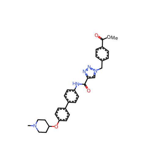 COC(=O)c1ccc(Cn2cc(C(=O)Nc3ccc(-c4ccc(OC5CCN(C)CC5)cc4)cc3)nn2)cc1